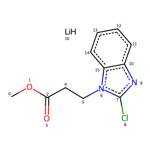 COC(=O)CCn1c(Cl)nc2ccccc21.[LiH]